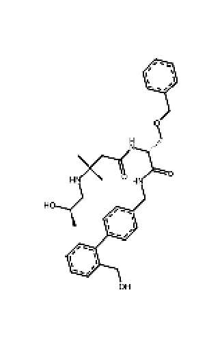 C[C@@H](O)CNC(C)(C)CC(=O)N[C@H](COCc1ccccc1)C(=O)NCc1ccc(-c2ccccc2CO)cc1